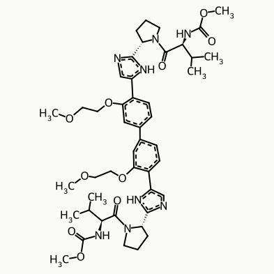 COCCOc1cc(-c2ccc(-c3cnc([C@@H]4CCCN4C(=O)[C@@H](NC(=O)OC)C(C)C)[nH]3)c(OCCOC)c2)ccc1-c1cnc([C@@H]2CCCN2C(=O)[C@@H](NC(=O)OC)C(C)C)[nH]1